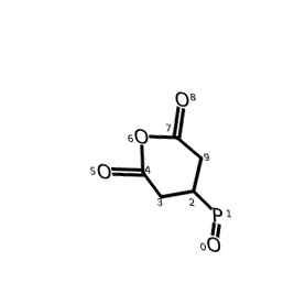 O=PC1CC(=O)OC(=O)C1